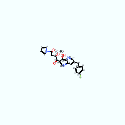 O=COC(CC(=O)n1cccc1)C(=O)c1cnc2cc(Cc3ccc(F)cc3)cnc2c1O